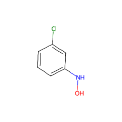 ONc1cccc(Cl)c1